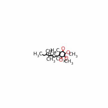 CCC(C)/C(C)=C/CC(C)(C)C1=C(C)C(=O)C(OC)=C(OC)C1=O